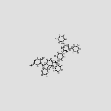 Fc1ccc(F)c(-n2c3ccccc3c3c4c5ccccc5n(-c5ccc(-c6nc(-c7ccccc7)nc(-c7ccccc7)n6)cc5)c4ccc32)c1